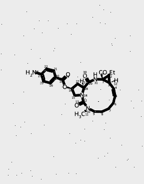 CCOC(=O)[C@@]12C[C@H]1/C=C\CCCCN(C)C(=O)N1C[C@@H](OC(=O)c3ccc(N)cc3)C[C@H]1C(=O)N2